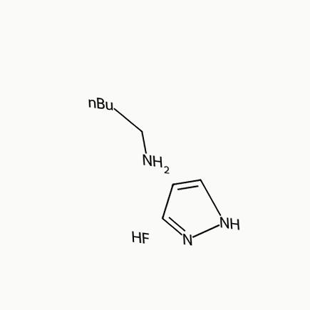 CCCCCN.F.c1cn[nH]c1